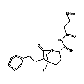 CC(=O)NCCC(=O)NC(=N)[C@@H]1CC[C@@H]2CN1C(=O)N2OCc1ccccc1